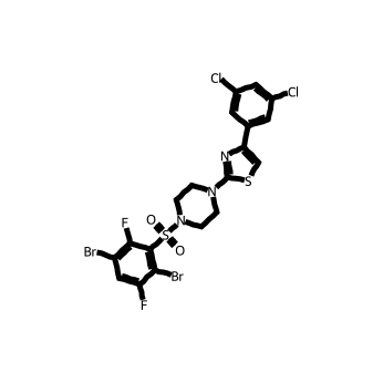 O=S(=O)(c1c(F)c(Br)cc(F)c1Br)N1CCN(c2nc(-c3cc(Cl)cc(Cl)c3)cs2)CC1